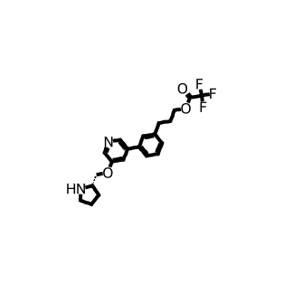 O=C(OCCCc1cccc(-c2cncc(OC[C@@H]3CCCN3)c2)c1)C(F)(F)F